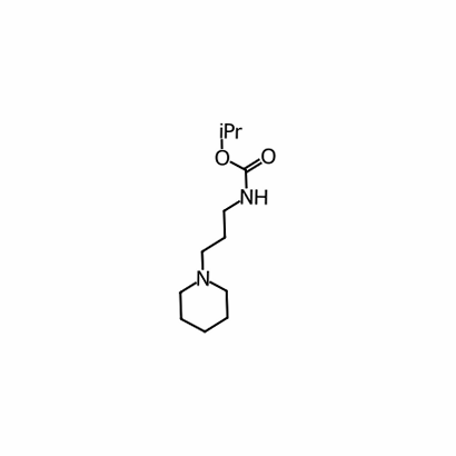 CC(C)OC(=O)NCCCN1CCCCC1